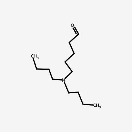 CCCCN(CCCC)CCCC[C]=O